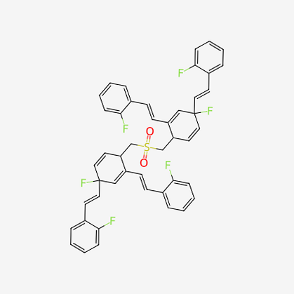 O=S(=O)(CC1C=CC(F)(/C=C/c2ccccc2F)C=C1/C=C/c1ccccc1F)CC1C=CC(F)(/C=C/c2ccccc2F)C=C1/C=C/c1ccccc1F